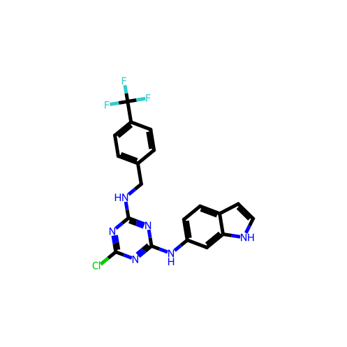 FC(F)(F)c1ccc(CNc2nc(Cl)nc(Nc3ccc4cc[nH]c4c3)n2)cc1